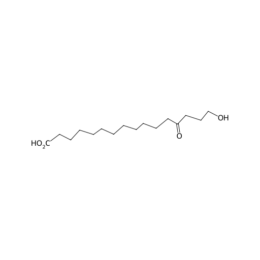 O=C(O)CCCCCCCCCCCC(=O)CCCO